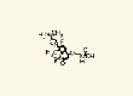 Cc1c(N2CC[C@@H]([C@H](C)N)C2)c(F)cc2c(OCCNC(=O)O)cc(=O)n(C3CC3)c12